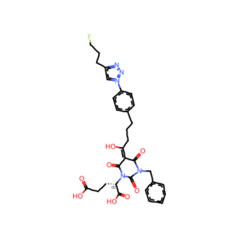 O=C(O)CC[C@@H](C(=O)O)N1C(=O)C(=C(O)CCCc2ccc(-n3cc(CCCF)nn3)cc2)C(=O)N(Cc2ccccc2)C1=O